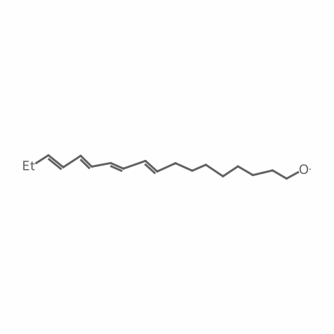 CCC=CC=CC=CC=CCCCCCCCC[O]